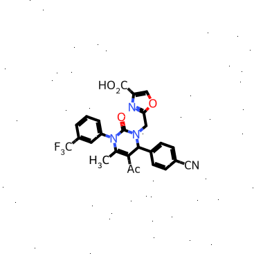 CC(=O)C1=C(C)N(c2cccc(C(F)(F)F)c2)C(=O)N(Cc2nc(C(=O)O)co2)C1c1ccc(C#N)cc1